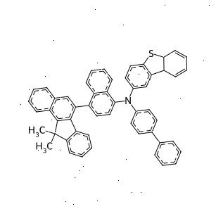 CC1(C)c2ccccc2-c2c(-c3ccc(N(c4ccc(-c5ccccc5)cc4)c4ccc5c(c4)C4C=CC=CC4S5)c4ccccc34)cc3ccccc3c21